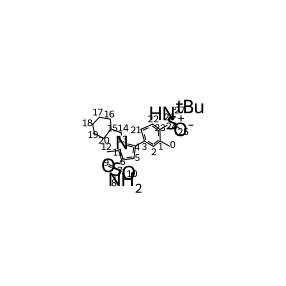 Cc1cc(-c2cc(S(N)(=O)=O)c(C)n2CC2CCCCC2)ccc1[S+]([O-])NC(C)(C)C